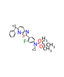 CC(C)(C)OC(=O)N(c1ccc(-c2nc3ccc(C4(c5ccccc5)CC4)nc3s2)c(F)c1)C1CC1